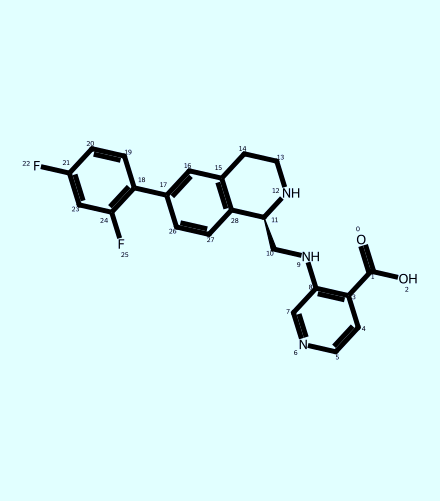 O=C(O)c1ccncc1NC[C@@H]1NCCc2cc(-c3ccc(F)cc3F)ccc21